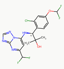 CC(C)(O)[C@@H](Nc1cc(C(F)F)nc2ncnn12)c1ccc(OC(F)F)cc1Cl